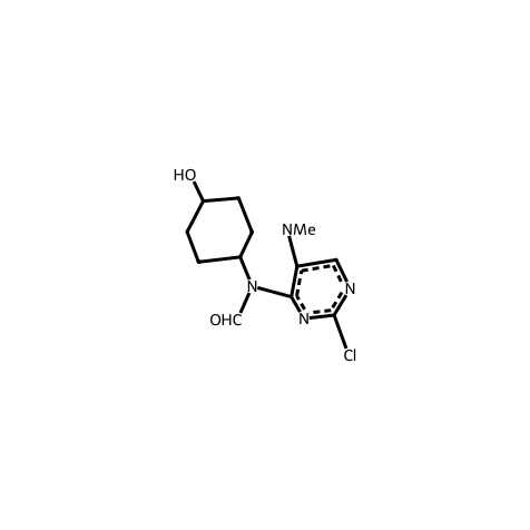 CNc1cnc(Cl)nc1N(C=O)C1CCC(O)CC1